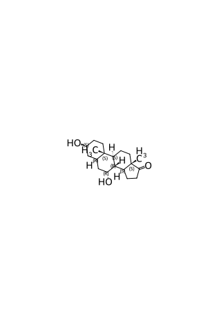 C[C@]12CC[C@H](O)C[C@@H]1C[C@@H](O)[C@@H]1[C@@H]2CC[C@]2(C)C(=O)CC[C@@H]12